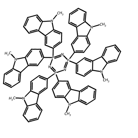 Cn1c2ccccc2c2cc(P3(c4ccc5c(c4)c4ccccc4n5C)=NP(c4ccc5c(c4)c4ccccc4n5C)(c4ccc5c(c4)c4ccccc4n5C)=NP(c4ccc5c(c4)c4ccccc4n5C)(c4ccc5c(c4)c4ccccc4n5C)=N3)ccc21